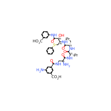 CC(C)C[C@H](NC(=O)[C@@H](NC(=O)[C@@H](N)CNC(=O)c1cc(N)cc(C(=O)O)c1)C(C)C)C(=O)N[C@@H](CSc1ccccc1)[C@@H](O)C(=O)Nc1cccc(C(=O)O)c1